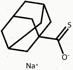 [Na+].[O-]C(=S)C12CC3CC(CC(C3)C1)C2